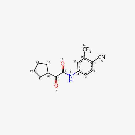 N#Cc1ccc(NC(=O)C(=O)C2CCCC2)cc1C(F)(F)F